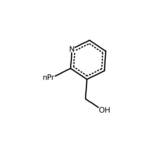 CCCc1ncccc1CO